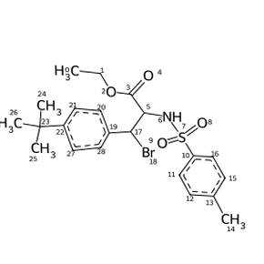 CCOC(=O)C(NS(=O)(=O)c1ccc(C)cc1)C(Br)c1ccc(C(C)(C)C)cc1